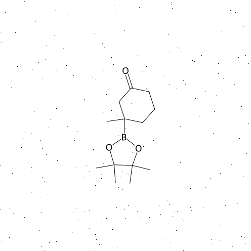 CC1(B2OC(C)(C)C(C)(C)O2)CCCC(=O)C1